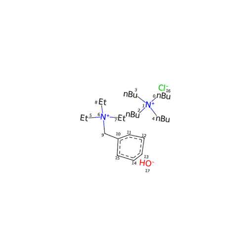 CCCC[N+](CCCC)(CCCC)CCCC.CC[N+](CC)(CC)Cc1ccccc1.[Cl-].[OH-]